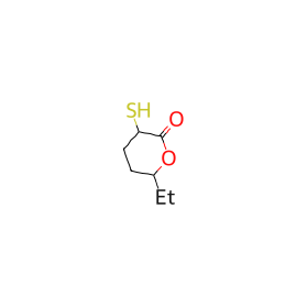 CCC1CCC(S)C(=O)O1